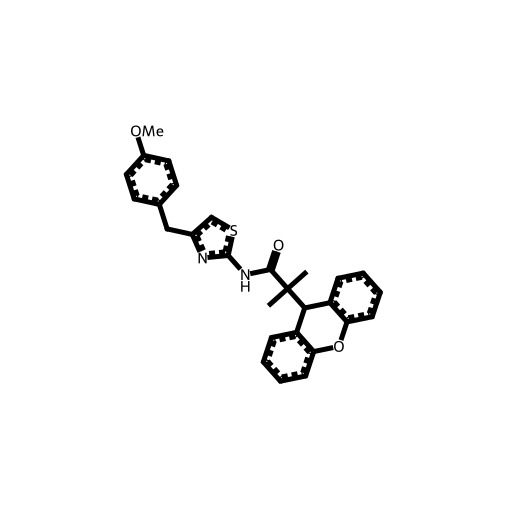 COc1ccc(Cc2csc(NC(=O)C(C)(C)C3c4ccccc4Oc4ccccc43)n2)cc1